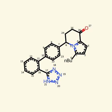 CCCCc1ccc2n1C(c1ccc(-c3ccccc3-c3nnn[nH]3)cc1)CCC2=O